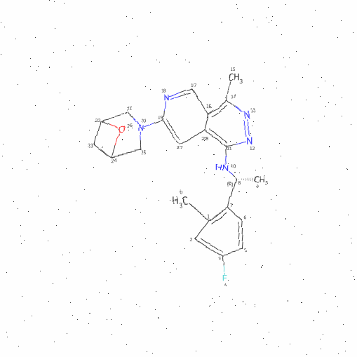 Cc1cc(F)ccc1[C@@H](C)Nc1nnc(C)c2cnc(N3CC4CC(C3)O4)cc12